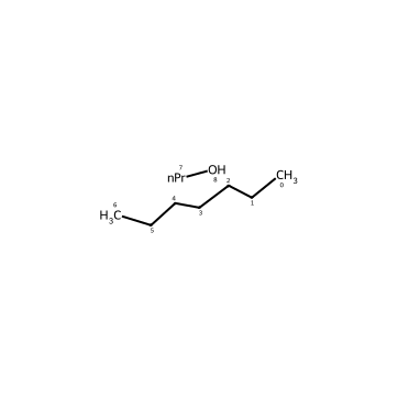 CCCCCCC.CCCO